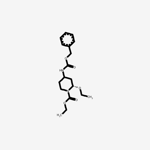 CCOC(=O)N1CCC(NC(=O)OCc2ccccc2)C[C@@H]1OCC